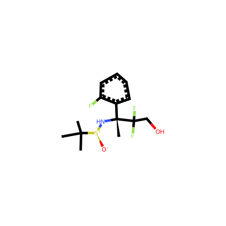 CC(C)(C)[S@+]([O-])N[C@](C)(c1ccccc1F)C(F)(F)CO